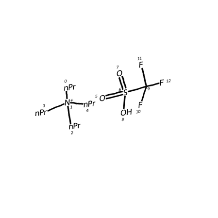 CCC[N+](CCC)(CCC)CCC.O=S(=O)(O)C(F)(F)F